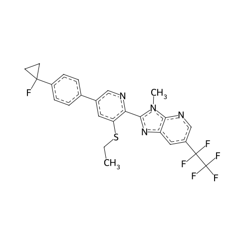 CCSc1cc(-c2ccc(C3(F)CC3)cc2)cnc1-c1nc2cc(C(F)(F)C(F)(F)F)cnc2n1C